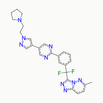 Cc1ccc2nnc(C(F)(F)c3cccc(-c4ncc(-c5cnn(CCN6CCCC6)c5)cn4)c3)n2n1